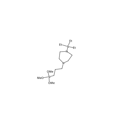 CC[Si](CC)(CC)N1CCN(CCC[Si](OC)(OC)OC)CC1